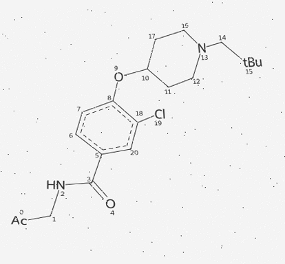 CC(=O)CNC(=O)c1ccc(OC2CCN(CC(C)(C)C)CC2)c(Cl)c1